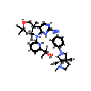 CN1CC[C@H]2CN(c3ccc(Nc4ncc5c(n4)N(c4cccc(C(C)(C)O)n4)[C@@H]4CC(C)(C)OC[C@]54C)cc3)C[C@H]21